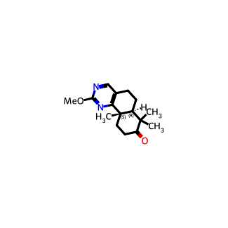 COc1ncc2c(n1)[C@@]1(C)CCC(=O)C(C)(C)[C@@H]1CC2